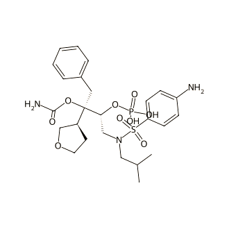 CC(C)CN(C[C@@H](OP(=O)(O)O)[C@](Cc1ccccc1)(OC(N)=O)[C@H]1CCOC1)S(=O)(=O)c1ccc(N)cc1